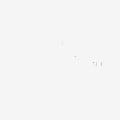 CC(C)(Oc1cc[nH]n1)C(F)(F)F